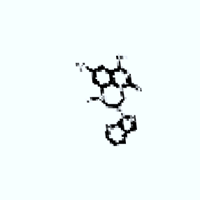 O=c1nc(O)c2cc(C(F)(F)F)cc3c2n1C[C@H](n1ncc2cccnc21)C[SH]3Cl